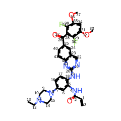 C=CC(=O)Nc1cc(N2CCN(CC)CC2)ccc1Nc1ncc2cc(C(=O)c3c(F)c(OC)cc(OC)c3F)ccc2n1